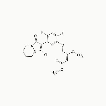 COC(=O)/C=C(\COc1cc(-c2c(Cl)n3n(c2=O)CCCC3)c(F)cc1F)OC